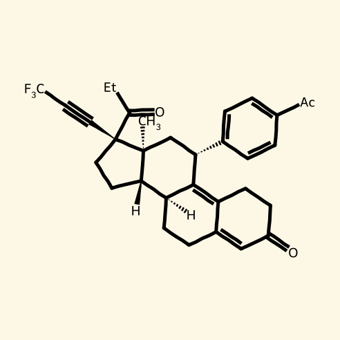 CCC(=O)[C@@]1(C#CC(F)(F)F)CC[C@H]2[C@@H]3CCC4=CC(=O)CCC4=C3[C@@H](c3ccc(C(C)=O)cc3)C[C@@]21C